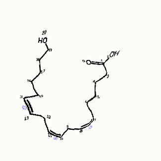 O=C(O)CCCC/C=C\C/C=C\C/C=C\CCCCCO